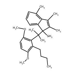 CCCCc1c(OC)ccc(OC)c1C(C)(C)C1([SiH3])C(C)=C(C)c2c(C)cccc21